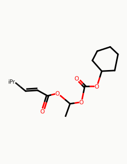 CC(C)/C=C/C(=O)OC(C)OC(=O)OC1CCCCC1